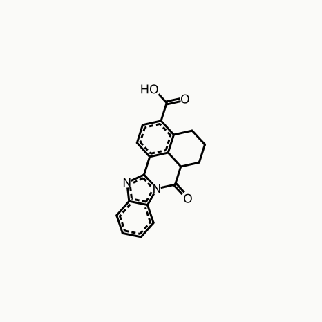 O=C(O)c1ccc2c3c1CCCC3C(=O)n1c-2nc2ccccc21